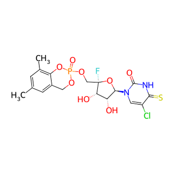 Cc1cc(C)c2c(c1)COP(=O)(OC[C@@]1(F)O[C@@H](n3cc(Cl)c(=S)[nH]c3=O)[C@H](O)[C@@H]1O)O2